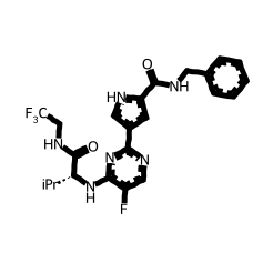 CC(C)[C@@H](Nc1nc(-c2c[nH]c(C(=O)NCc3ccccc3)c2)ncc1F)C(=O)NCC(F)(F)F